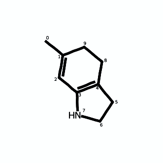 CC1=CC2=C(CCN2)CC1